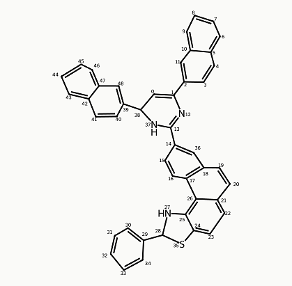 C1=C(c2ccc3ccccc3c2)N=C(c2ccc3c(ccc4ccc5c(c43)NC(c3ccccc3)S5)c2)NC1c1ccc2ccccc2c1